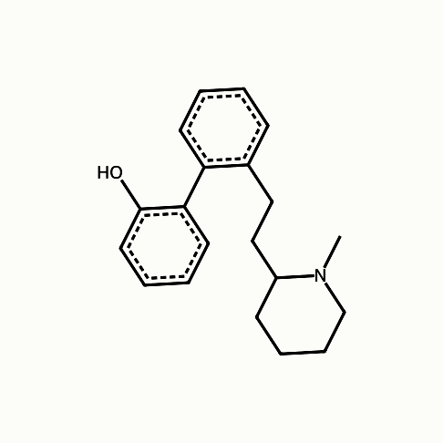 CN1CCCCC1CCc1ccccc1-c1ccccc1O